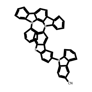 N#Cc1ccc2c(c1)c1ccccc1n2-c1ccc2sc3ccc(-n4c5ccccc5c5ccc6c7ccccc7n(-c7ccccc7)c6c54)cc3c2c1